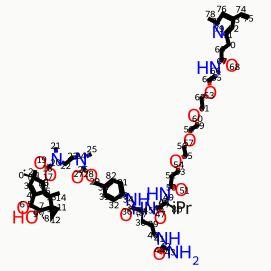 [CH2][C@]1(C)C=C2C(=O)[C@](C)(O)C3(CC3)C(C)=C2[C@H]1OC(=O)N(C)CCN(C)C(=O)OCc1ccc(NC(=O)[C@H](CCCNC(N)=O)NC(=O)[C@@H](NC(=O)CCOCCOCCOCCOCCNC(=O)CCc2cc(C=C)cc(C)n2)C(C)C)cc1